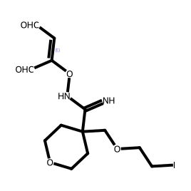 N=C(NO/C(C=O)=C/C=O)C1(COCCI)CCOCC1